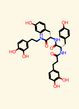 O=C(CCc1ccc(O)c(O)c1)N[C@@H](Cc1ccc(O)cc1)C(=O)N[C@@H](Cc1ccc(O)cc1)C(=O)NCCc1ccc(O)c(O)c1